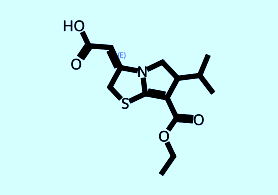 CCOC(=O)C1=C2SC/C(=C\C(=O)O)N2CC1C(C)C